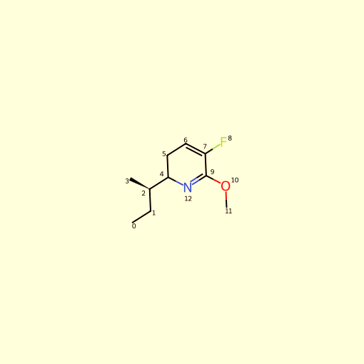 CC[C@@H](C)C1CC=C(F)C(OC)=N1